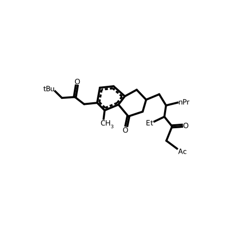 CCCC(CC1CC(=O)c2c(ccc(CC(=O)CC(C)(C)C)c2C)C1)C(CC)C(=O)CC(C)=O